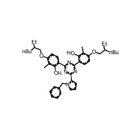 CCCCC(CC)COc1ccc(-c2nc(-c3ccc(OCC(CC)CCCC)c(C)c3O)nc(-c3cccn3Cc3ccccc3)n2)c(O)c1C